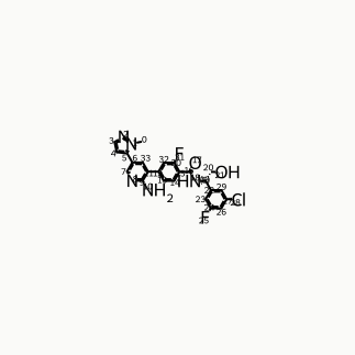 Cn1nccc1-c1cnc(N)c(-c2ccc(C(=O)N[C@H](CO)c3cc(F)cc(Cl)c3)c(F)c2)c1